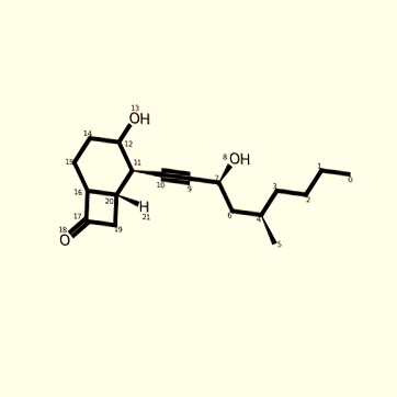 CCCC[C@@H](C)C[C@H](O)C#C[C@@H]1C(O)CCC2C(=O)C[C@H]21